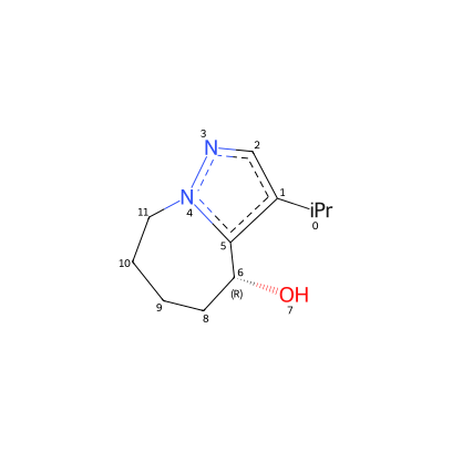 CC(C)c1cnn2c1[C@H](O)CCCC2